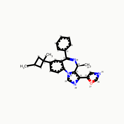 CC1CC(C)(c2ccc3c(c2)C(c2ccccc2)=N[C@@H](C)c2c(-c4cnco4)ncn2-3)C1